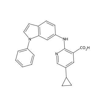 O=C(O)c1cc(C2CC2)cnc1Nc1ccc2ccn(-c3ccccc3)c2c1